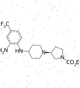 CCOC(=O)N1CC[C@H](N2CCC(Nc3ccc(C(F)(F)F)cc3N)CC2)C1